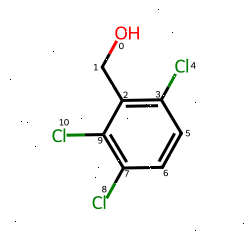 OCc1c(Cl)ccc(Cl)c1Cl